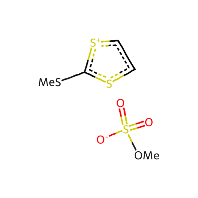 COS(=O)(=O)[O-].CSc1scc[s+]1